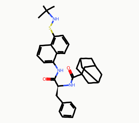 CC(C)(C)NSc1cccc2c(NC(=O)[C@H](Cc3ccccc3)NC(=O)C34CC5CC(CC(C5)C3)C4)cccc12